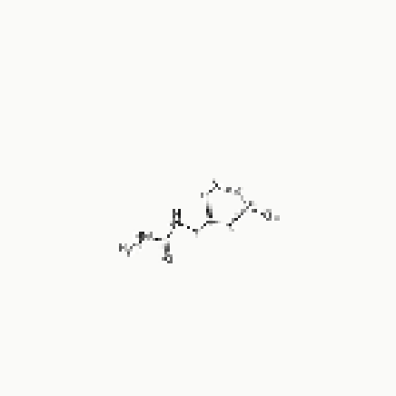 CNC(=O)NCc1cccc(Cl)c1